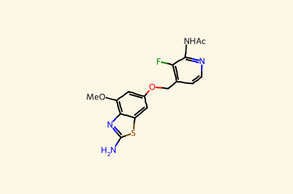 COc1cc(OCc2ccnc(NC(C)=O)c2F)cc2sc(N)nc12